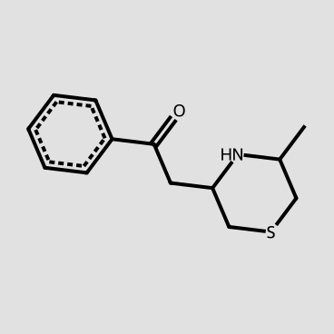 CC1CSCC(CC(=O)c2ccccc2)N1